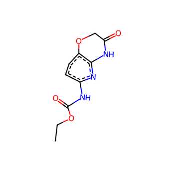 CCOC(=O)Nc1ccc2c(n1)NC(=O)CO2